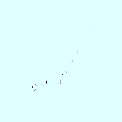 CCCCCCCCCCCCCCCCCCNC(=O)OCC1(C)CCC(C)(COC(=O)NCc2cc(C)cc(C)n2)O1